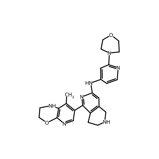 Cc1c(-c2nc(Nc3ccnc(N4CCOCC4)c3)cc3c2CCNC3)cnc2c1NCCO2